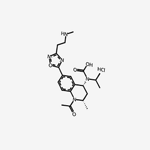 CNCCc1noc(-c2ccc3c(c2)[C@H](N(C(=O)O)C(C)C)C[C@H](C)N3C(C)=O)n1.Cl